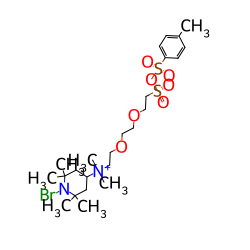 Cc1ccc(S(=O)(=O)OS(=O)(=O)CCOCCOCC[N+](C)(C)C2CC(C)(C)N(Br)C(C)(C)C2)cc1